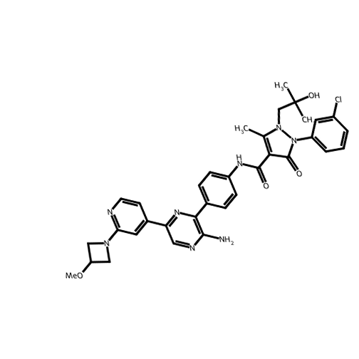 COC1CN(c2cc(-c3cnc(N)c(-c4ccc(NC(=O)c5c(C)n(CC(C)(C)O)n(-c6cccc(Cl)c6)c5=O)cc4)n3)ccn2)C1